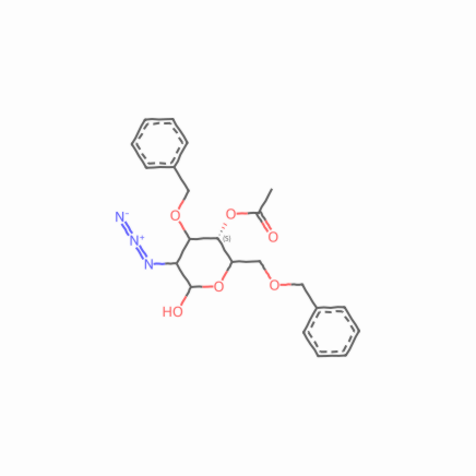 CC(=O)O[C@@H]1C(COCc2ccccc2)OC(O)C(N=[N+]=[N-])C1OCc1ccccc1